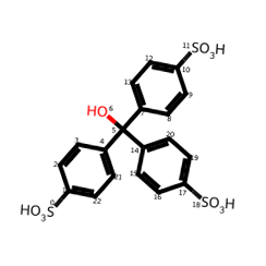 O=S(=O)(O)c1ccc(C(O)(c2ccc(S(=O)(=O)O)cc2)c2ccc(S(=O)(=O)O)cc2)cc1